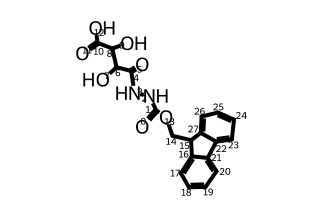 O=C(NNC(=O)C(O)C(O)C(=O)O)OCC1c2ccccc2-c2ccccc21